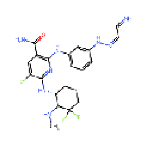 CNC1[C@H](Nc2nc(Nc3cccc(N/N=C\C=N)c3)c(C(N)=O)cc2F)CCCC1(F)F